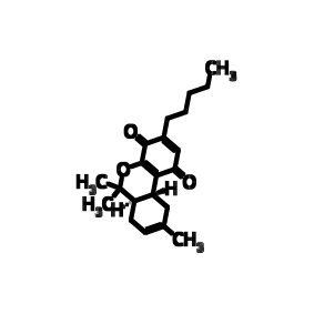 CCCCCC1=CC(=O)C2=C(OC(C)(C)[C@@H]3CC=C(C)C[C@@H]23)C1=O